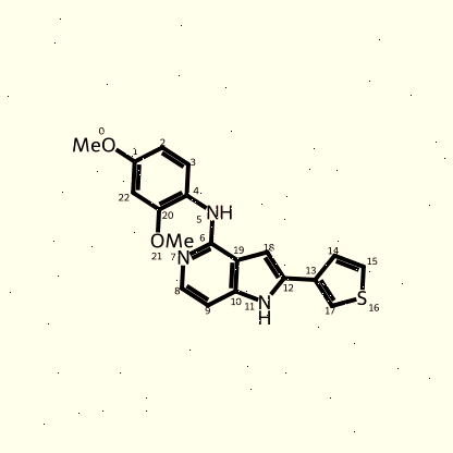 COc1ccc(Nc2nccc3[nH]c(-c4ccsc4)cc23)c(OC)c1